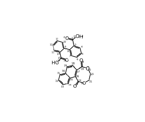 O=C(O)c1ccccc1-c1ccccc1C(=O)O.O=C1OCCOC(=O)c2c1ccc1ccccc21